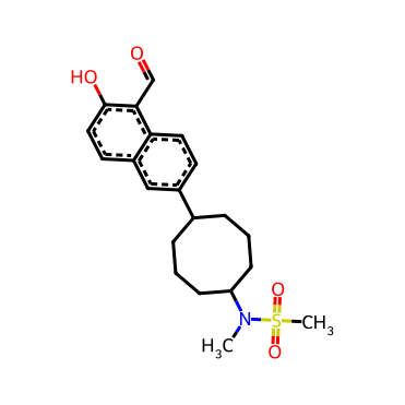 CN(C1CCCC(c2ccc3c(C=O)c(O)ccc3c2)CCC1)S(C)(=O)=O